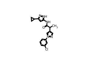 CC(C(=O)Nc1cc(C2CC2)n[nH]1)c1cnn(-c2cccc(Cl)c2)c1